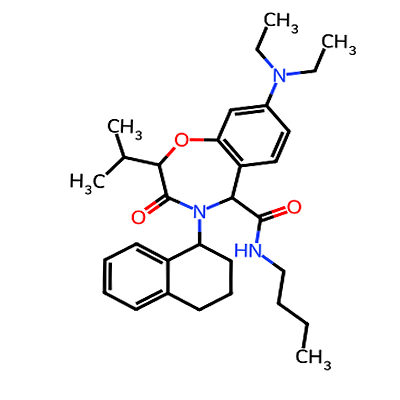 CCCCNC(=O)C1c2ccc(N(CC)CC)cc2OC(C(C)C)C(=O)N1C1CCCc2ccccc21